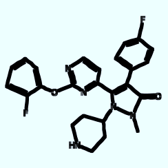 Cn1c(=O)c(-c2ccc(F)cc2)c(-c2ccnc(Oc3ccccc3F)n2)n1C1CCNCC1